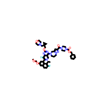 CCc1c(F)ccc2cc(OCOC)cc(-c3ncc4c(N5CCCn6nc(C(=O)N7CCN(C(=O)OCc8ccccc8)CC7)cc6C5)nc(OCC5(CN6CCOCC6)CC5)nc4c3F)c12